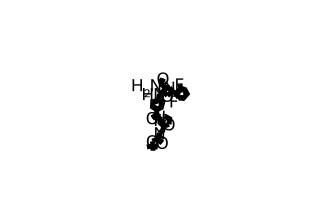 CC(C)(C)OC(=O)NCC1CN(C(=O)c2ccc(Nc3oc(-c4c(F)cccc4F)nc3C(N)=O)cc2)CCO1